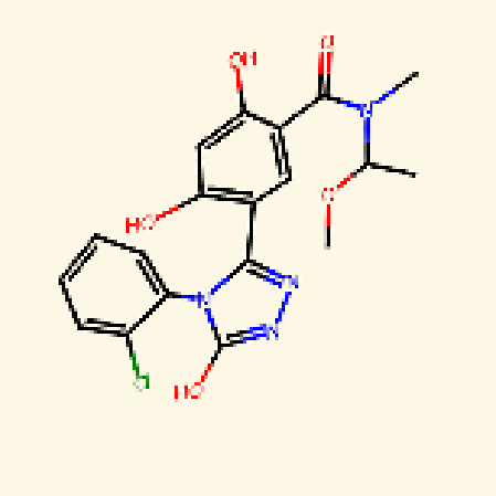 COC(C)N(C)C(=O)c1cc(-c2nnc(O)n2-c2ccccc2Cl)c(O)cc1O